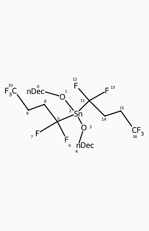 CCCCCCCCCC[O][Sn]([O]CCCCCCCCCC)([C](F)(F)CCC(F)(F)F)[C](F)(F)CCC(F)(F)F